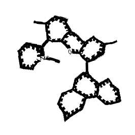 Cc1cc(-c2cc3ccccc3c3ccccc23)c2oc3c(-c4cccc[n+]4C)c(C)ccc3c2c1